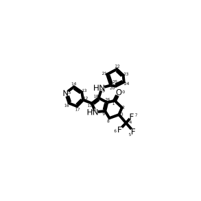 O=C1CC(C(F)(F)F)Cc2[nH]c(-c3ccncc3)c(Nc3ccccc3)c21